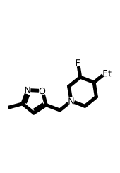 CCC1CCN(Cc2cc(C)no2)CC1F